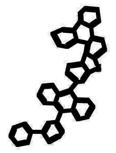 c1ccc(-c2cccc(-c3c4ccccc4c(-c4ccc5c(c4)sc4ccc6c7ccccc7c7ccccc7c6c45)c4ccccc34)c2)cc1